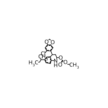 CCOC(=O)OC1CC(c2cc3c(cc2Cl)OCO3)c2cc(C(C)CC)ccc2N1